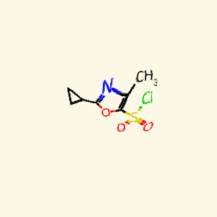 Cc1nc(C2CC2)oc1S(=O)(=O)Cl